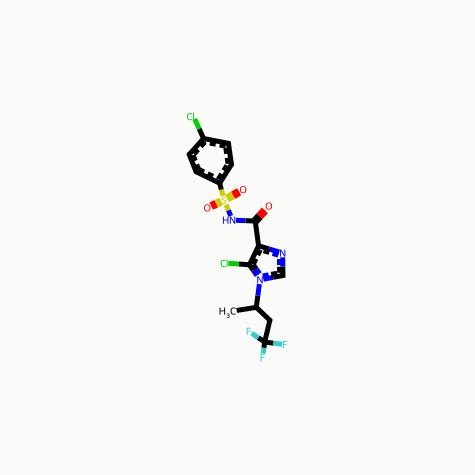 CC(CC(F)(F)F)n1cnc(C(=O)NS(=O)(=O)c2ccc(Cl)cc2)c1Cl